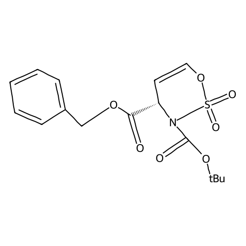 CC(C)(C)OC(=O)N1[C@H](C(=O)OCc2ccccc2)C=COS1(=O)=O